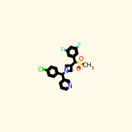 CS(=O)(=O)C(c1cc(F)cc(F)c1)C1CN(C(c2ccc(Cl)cc2)c2cccnc2)C1